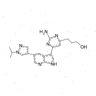 CC(C)n1cc(-c2cnc3[nH]cc(-c4cc(CCCO)nc(N)n4)c3c2)cn1